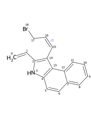 C=Cc1[nH]c2ccc3ccccc3c2c1/C=C\CBr